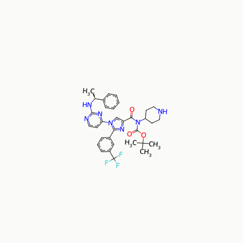 C[C@H](Nc1nccc(-n2cc(C(=O)N(C(=O)OC(C)(C)C)C3CCNCC3)nc2-c2cccc(C(F)(F)F)c2)n1)c1ccccc1